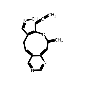 C=C=C/C1=C(\C=N/C)C/C=c2/cncn/c2=C/C(=C)O1